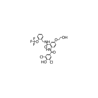 O=C(Nc1ccc(OCCO)cc1C(=O)NCc1ccccc1OC(F)(F)F)c1cc(Cl)c(O)c(Cl)c1